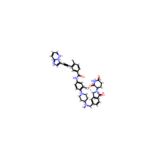 Cc1ccc(C(=O)Nc2ccc(N3CCC(N(C)Cc4ccc5c(c4)CN(C4CCC(=O)NC4=O)C5=O)CC3)c(C(F)(F)F)c2)cc1C#Cc1cnc2cccnn12